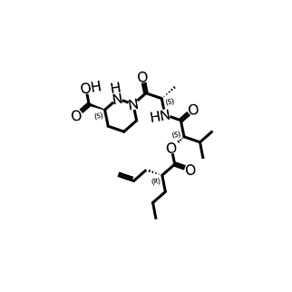 C=CC[C@@H](CCC)C(=O)O[C@H](C(=O)N[C@@H](C)C(=O)N1CCC[C@@H](C(=O)O)N1)C(C)C